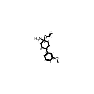 COc1cccc(C2CCC(N)(OC=O)CC2)c1